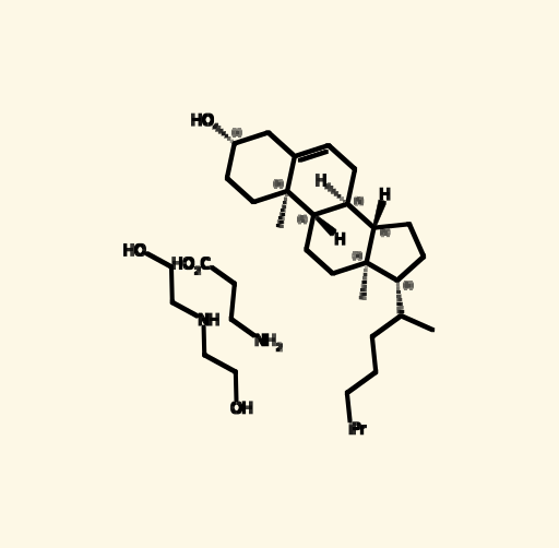 CC(C)CCCC(C)[C@H]1CC[C@H]2[C@@H]3CC=C4C[C@@H](O)CC[C@]4(C)[C@H]3CC[C@]12C.NCCC(=O)O.OCCNCCO